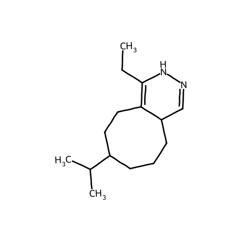 CCC1=C2CCC(C(C)C)CCCC2C=NN1